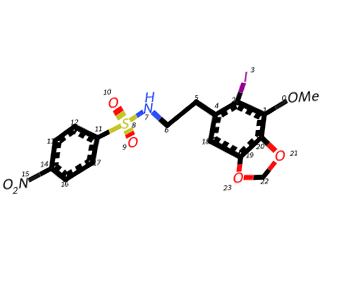 COc1c(I)c(CCNS(=O)(=O)c2ccc([N+](=O)[O-])cc2)cc2c1OCO2